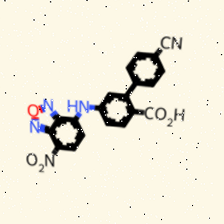 N#Cc1ccc(-c2cc(Nc3ccc([N+](=O)[O-])c4nonc34)ccc2C(=O)O)cc1